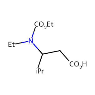 CCOC(=O)N(CC)C(CC(=O)O)C(C)C